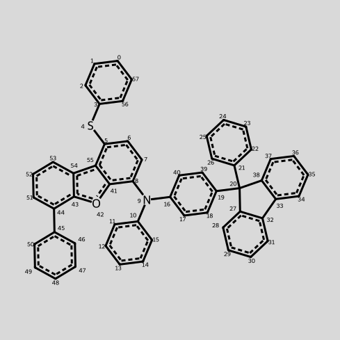 c1ccc(Sc2ccc(N(c3ccccc3)c3ccc(C4(c5ccccc5)c5ccccc5-c5ccccc54)cc3)c3oc4c(-c5ccccc5)cccc4c23)cc1